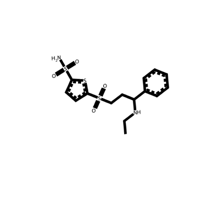 CCNC(CCS(=O)(=O)c1ccc(S(N)(=O)=O)s1)c1ccccc1